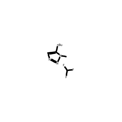 CCCCc1cnnn1C.FC(F)F